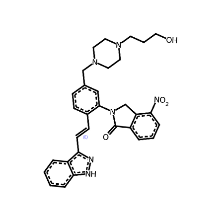 O=C1c2cccc([N+](=O)[O-])c2CN1c1cc(CN2CCN(CCCO)CC2)ccc1/C=C/c1n[nH]c2ccccc12